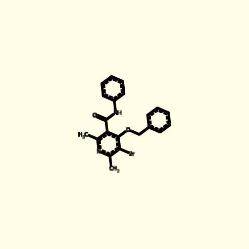 Cc1nc(C)c(C(=O)Nc2ccccc2)c(OCc2ccccc2)c1Br